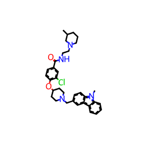 CC1CCCN(CCNC(=O)c2ccc(OC3CCN(Cc4ccc5c(c4)c4ccccc4n5C)CC3)c(Cl)c2)C1